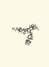 Cn1ccc(NC(=O)c2cc(Oc3ccc(-c4ncon4)nc3)c3c(c2)OC(C)(C)C3)n1